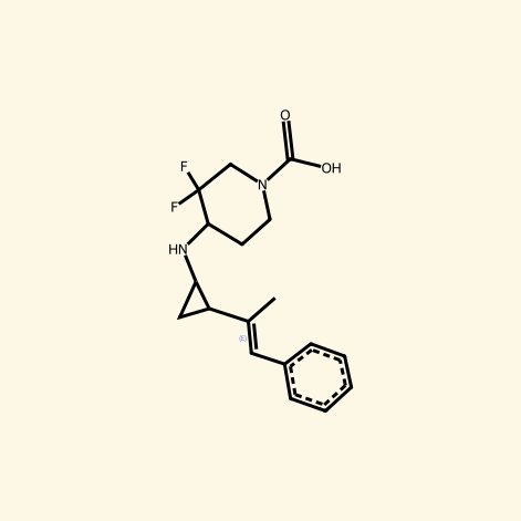 C/C(=C\c1ccccc1)C1CC1NC1CCN(C(=O)O)CC1(F)F